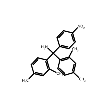 Cc1ccc(C(N)(c2ccc([N+](=O)[O-])cc2)c2ccc(C)cc2C)c(C)c1